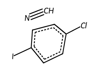 C#N.Clc1ccc(I)cc1